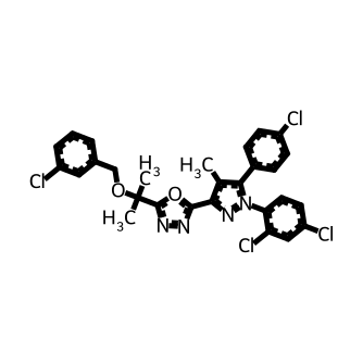 Cc1c(-c2nnc(C(C)(C)OCc3cccc(Cl)c3)o2)nn(-c2ccc(Cl)cc2Cl)c1-c1ccc(Cl)cc1